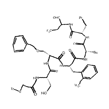 CCOCC(=O)N[C@@H](CO)C(=O)N[C@H](COCc1ccccc1)C(=O)N[C@@H](Cc1ccccc1C)C(=O)N[C@H](C(=O)N[C@@H](CC(C)C)C(=O)NC(C=O)CC(F)(F)F)C(C)(C)C